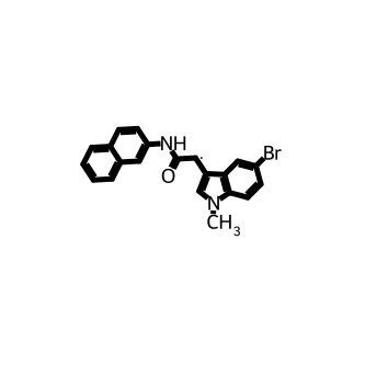 Cn1cc([CH]C(=O)Nc2ccc3ccccc3c2)c2cc(Br)ccc21